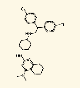 CN(C)c1nc(N[C@H]2CC[C@@H](NCC(c3ccc(Cl)cc3)c3ccc(Cl)cc3)CC2)nc2c1CCCC2